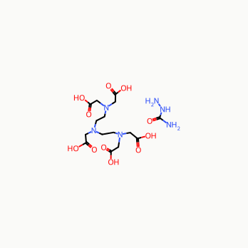 NNC(N)=O.O=C(O)CN(CCN(CC(=O)O)CC(=O)O)CCN(CC(=O)O)CC(=O)O